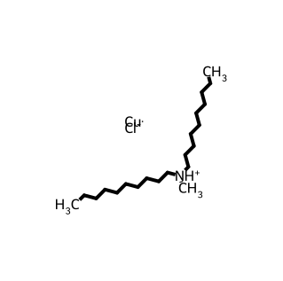 CCCCCCCCCC[NH+](C)CCCCCCCCCC.[Cl-].[Cu]